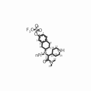 CCCN(C1CCc2ccc(OS(=O)(=O)C(F)(F)F)cc2C1)C(C(=O)N(C)C)C1CCNCC1